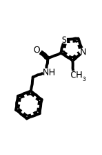 Cc1ncsc1C(=O)NCc1ccccc1